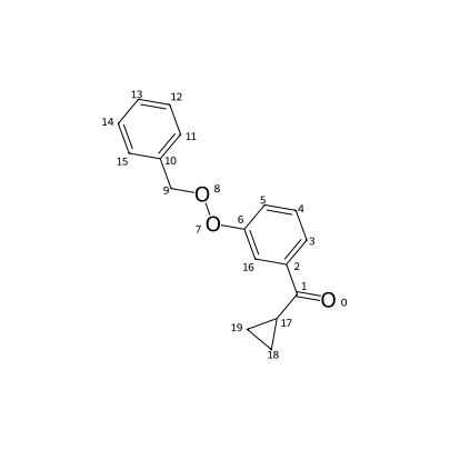 O=C(c1cccc(OOCc2ccccc2)c1)C1CC1